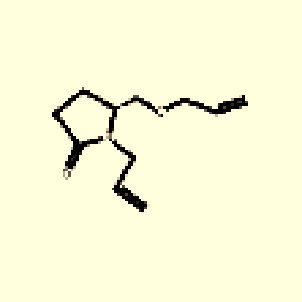 C=CCOC[C@@H]1CCC(=O)N1CC=C